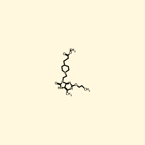 CCCOc1nc(C)c2[nH]c(=O)n(CCN3CCC(CCC(=O)OC)CC3)c2n1